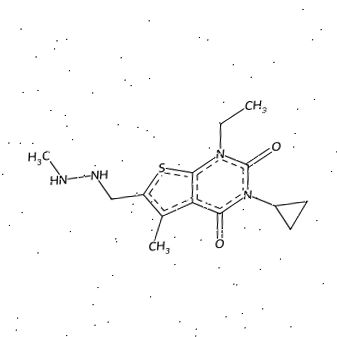 CCn1c(=O)n(C2CC2)c(=O)c2c(C)c(CNNC)sc21